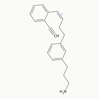 C#Cc1ccccc1/C=C\CCc1cccc(CCCN)c1